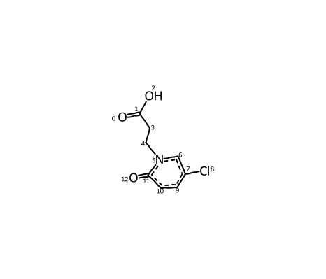 O=C(O)CCn1cc(Cl)ccc1=O